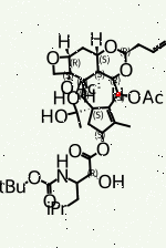 C=CC[C@@H]1O[C@H]2C[C@H]3OC[C@@]3(OC(C)=O)[C@H]3[C@H](O)[C@]4(C(C)(C)O)C[C@H](OC(=O)[C@H](O)C(CC(C)C)NC(=O)OC(C)(C)C)C(C)=C4[C@H](OC(C)=O)[C@H](O1)[C@]23C